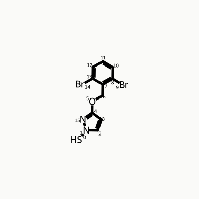 Sn1ccc(OCc2c(Br)cccc2Br)n1